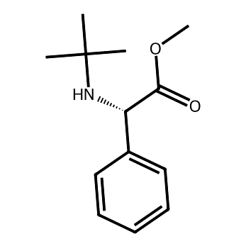 COC(=O)[C@@H](NC(C)(C)C)c1ccccc1